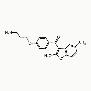 Cc1ccc2oc(C)c(C(=O)c3ccc(OCCCN)cc3)c2c1